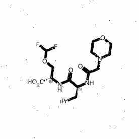 CC(C)C[C@H](NC(=O)CN1CCOCC1)C(=O)N[C@@H](COC(F)F)C(=O)O